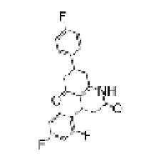 O=C1CC(c2ccc(F)cc2F)C2=C(CC(c3ccc(F)cc3)CC2=O)N1